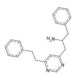 NC(Cc1ccccc1)Cc1cc(CCc2ccccc2)ncn1